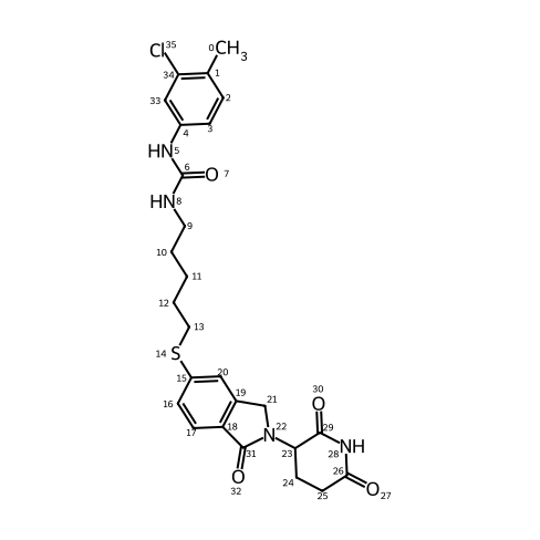 Cc1ccc(NC(=O)NCCCCCSc2ccc3c(c2)CN(C2CCC(=O)NC2=O)C3=O)cc1Cl